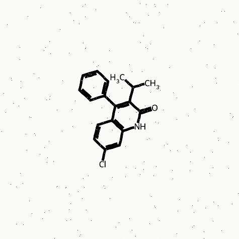 CC(C)c1c(-c2ccccc2)c2ccc(Cl)cc2[nH]c1=O